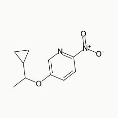 CC(Oc1ccc([N+](=O)[O-])nc1)C1CC1